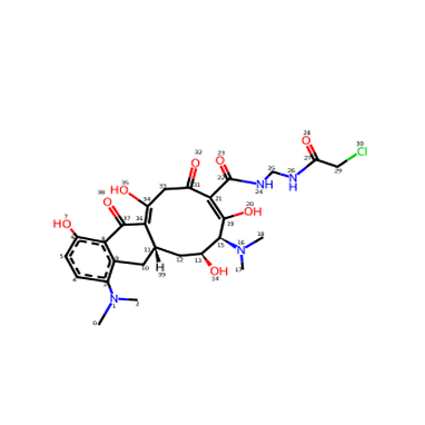 CN(C)c1ccc(O)c2c1C[C@H]1C[C@H](O)[C@H](N(C)C)/C(O)=C(/C(=O)NCNC(=O)CCl)C(=O)C/C(O)=C\1C2=O